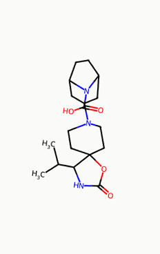 CC(C)C1NC(=O)OC12CCN(C1CC3CCC(C1)N3C(=O)O)CC2